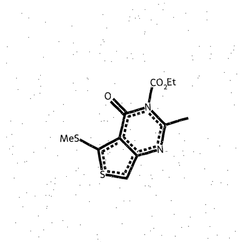 CCOC(=O)n1c(C)nc2csc(SC)c2c1=O